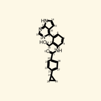 O=C(Nc1cccc(-c2ncnc3[nH]ccc23)c1CO)c1ccc(C2CC2)cc1